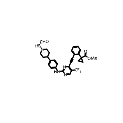 COC(=O)C1(c2ccccc2C#Cc2nc(Nc3ccc(C4CCN(BC=O)CC4)cc3)ncc2C(F)(F)F)CC1